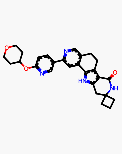 O=C1NC2(CCC2)Cc2[nH]c3c(c21)CCc1cnc(-c2ccc(OC4CCOCC4)nc2)cc1-3